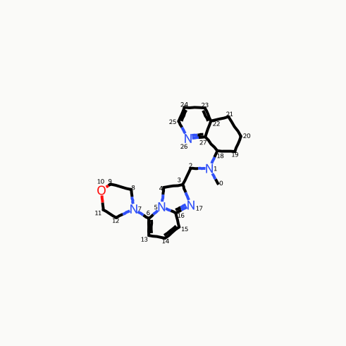 CN(CC1CN2C(N3CCOCC3)=CC=CC2=N1)C1CCCc2cccnc21